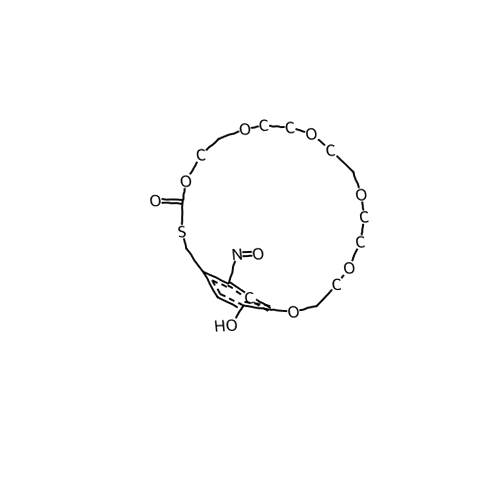 O=Nc1cc2c(O)cc1CSC(=O)OCCOCCOCCOCCOCCO2